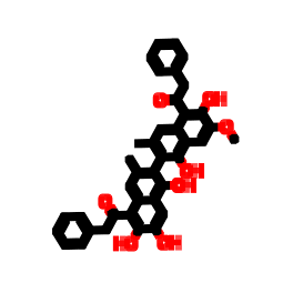 COc1cc2c(O)c(-c3c(C)cc4c(C(=O)Cc5ccccc5)c(O)c(O)cc4c3O)c(C)cc2c(C(=O)Cc2ccccc2)c1O